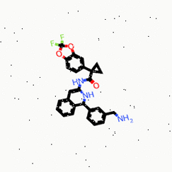 NCc1cccc(C2NC(NC(=O)C3(c4ccc5c(c4)OC(F)(F)O5)CC3)=Cc3ccccc32)c1